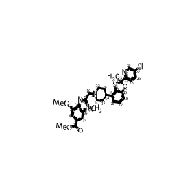 COC(=O)c1cc(OC)c2nc(CN3CCC(c4cccc5c4O[C@@](C)(c4ccc(Cl)cn4)O5)CC3)n(C)c2c1